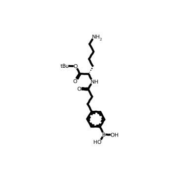 CC(C)(C)OC(=O)[C@H](CCCCN)NC(=O)CCc1ccc(B(O)O)cc1